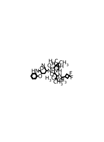 CC(C)(C)[C@H](NC(=O)C1CC(F)(F)C1)C(=O)N1C[C@H]2[C@@H]([C@H]1C(=O)NC(C#N)CC1Oc3ccccc3NC1=O)C2(C)C